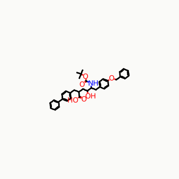 CC(C)(C)OC(=O)NC(Cc1ccc(OCc2ccccc2)cc1)C(O)CC(Cc1ccc(-c2ccccc2)cc1)C(=O)O